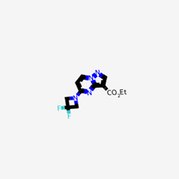 CCOC(=O)c1cnn2ccc(N3CC(F)(F)C3)nc12